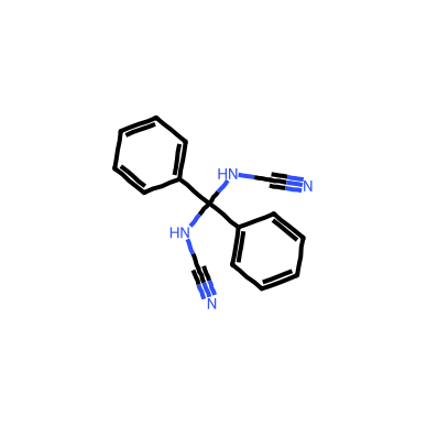 N#CNC(NC#N)(c1ccccc1)c1ccccc1